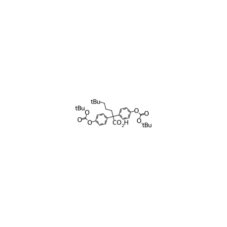 CC(C)(C)CCCC(C(=O)O)(c1ccc(OC(=O)OC(C)(C)C)cc1)c1ccc(OC(=O)OC(C)(C)C)cc1